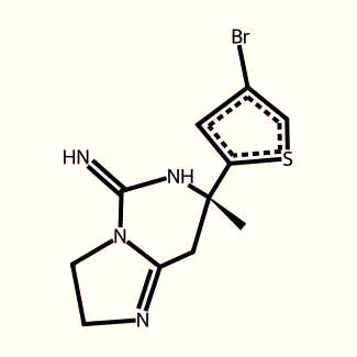 C[C@@]1(c2cc(Br)cs2)CC2=NCCN2C(=N)N1